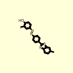 Cc1ccc2nc(-c3ccc(N=Nc4ccc(O)c(I)c4)cc3)sc2c1